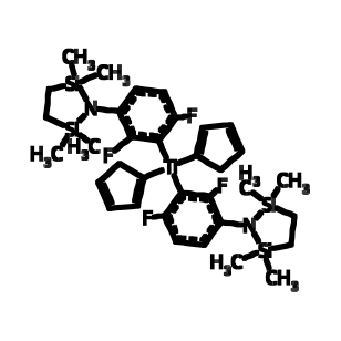 C[Si]1(C)CC[Si](C)(C)N1c1ccc(F)[c]([Ti]([C]2=CC=CC2)([C]2=CC=CC2)[c]2c(F)ccc(N3[Si](C)(C)CC[Si]3(C)C)c2F)c1F